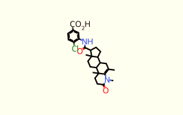 CC1=C2N(C)C(=O)CCC2(C)C2CCC3(C)C(C(=O)Nc4cc(C(=O)O)ccc4Cl)CCC3C2C1